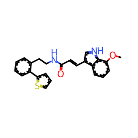 COc1cccc2c(/C=C/C(=O)NCCc3ccccc3-c3cccs3)c[nH]c12